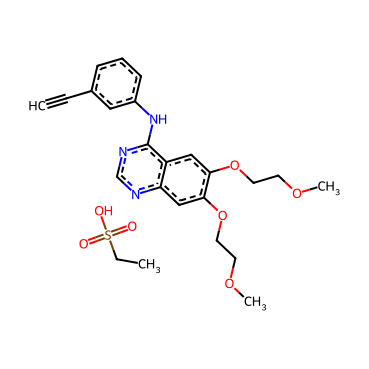 C#Cc1cccc(Nc2ncnc3cc(OCCOC)c(OCCOC)cc23)c1.CCS(=O)(=O)O